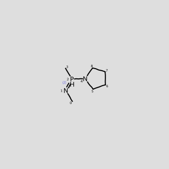 C/N=[PH](/C)N1CCCC1